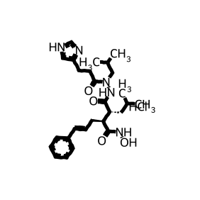 CC(C)C[C@@H](C(=O)NN(CC(C)C)C(=O)CCc1c[nH]cn1)[C@H](CC=Cc1ccccc1)C(=O)NO.Cl